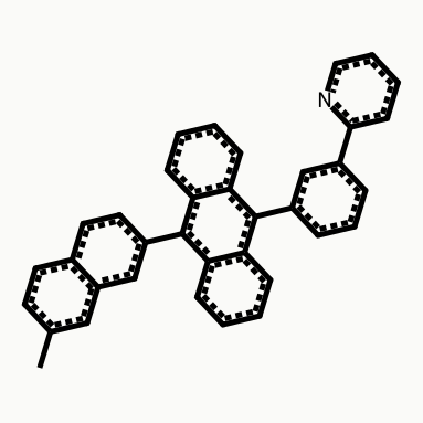 Cc1ccc2ccc(-c3c4ccccc4c(-c4cccc(-c5ccccn5)c4)c4ccccc34)cc2c1